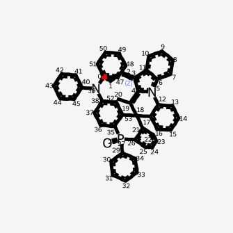 C=C/C=c1\c2n(c3ccccc13)-c1ccccc1C1(C=2C)c2ccccc2P(=O)(c2ccccc2)c2ccc(N(c3ccccc3)c3ccccc3)cc21